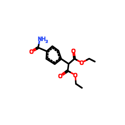 CCOC(=O)C(C(=O)OCC)c1ccc(C(N)=O)cc1